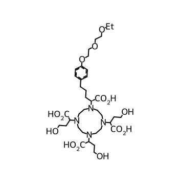 CCOCCOCCOc1ccc(CCC[C@@H](C(=O)O)N2CCN(C(CCO)C(=O)O)CCN(C(CCO)C(=O)O)CCN(C(CCO)C(=O)O)CC2)cc1